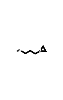 CCCCCCN1[CH]C1